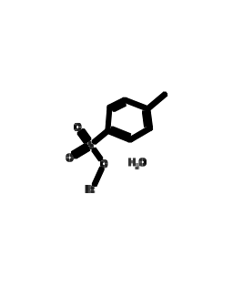 CCOS(=O)(=O)c1ccc(C)cc1.O